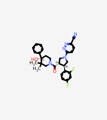 CC1(C)CN(C(=O)[C@@H]2CN(c3ccc(C#N)nn3)C[C@H]2c2ccc(F)cc2F)CC[C@]1(O)c1ccccc1